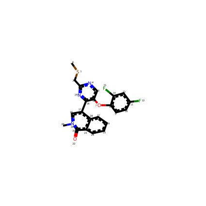 CSCc1ncc(Oc2ccc(F)cc2F)c(-c2cn(C)c(=O)c3ccccc23)n1